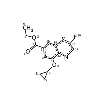 CCOC(=O)c1cc(OC2CC2)c2ncc(F)cc2c1